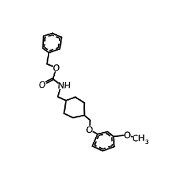 COc1cccc(OCC2CCC(CNC(=O)OCc3ccccc3)CC2)c1